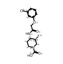 O=C(COc1cccc(Cl)c1)N[C@H]1CCN(C(=O)O)C[C@@H]1F